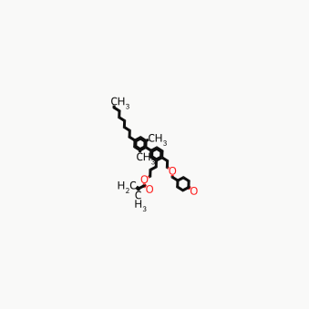 C=C(C)C(=O)OCCCc1cc(-c2c(C)cc(CCCCCCCC)cc2C)ccc1CCOCC1CCC(=O)CC1